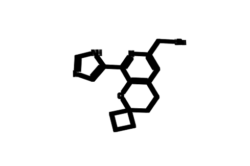 CC(C)(C)Cc1cc2c(c(-c3cnc[nH]3)n1)OC1(CCC1)CC2